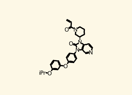 C=CC(=O)N1CCC[C@@H](n2c(=O)n(-c3ccc(Oc4cccc(OC(C)C)c4)cc3)c3cnccc32)C1